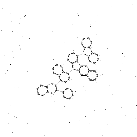 c1ccc(-c2nc3ccccc3nc2-c2ccc(-n3c4cc5ccccc5cc4c4c(-n5c6ccccc6c6ccccc65)cccc43)c3ccccc23)cc1